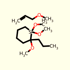 C=CCOC.CCCC1(OC)CCCC[Si]1(OC)OC